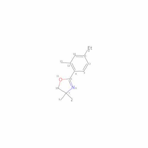 CCc1ccc(C2=NC(C)(C)CO2)c(C)c1